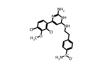 COc1c(Cl)ccc(C2=CC(NCCc3ccc([S@+](N)[O-])cc3)NC(N)=N2)c1Cl